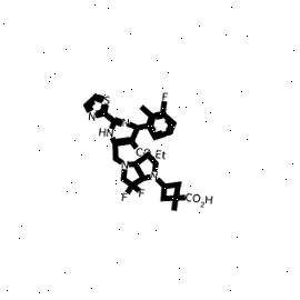 CCOC(=O)C1=C(CN2CC(F)(F)C3C2CCN3C2CC(C)(C(=O)O)C2)NC(c2nccs2)=NC1c1cccc(F)c1C